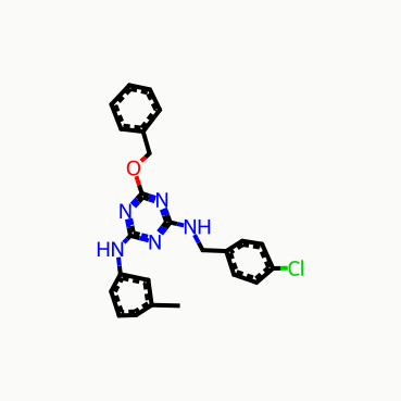 Cc1cccc(Nc2nc(NCc3ccc(Cl)cc3)nc(OCc3ccccc3)n2)c1